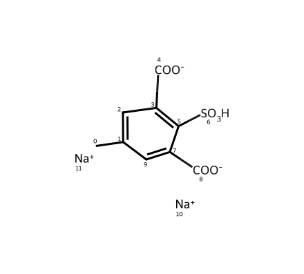 Cc1cc(C(=O)[O-])c(S(=O)(=O)O)c(C(=O)[O-])c1.[Na+].[Na+]